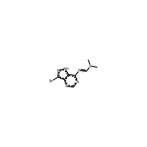 CN(C)/C=N/c1ncnc2c(Br)n[nH]c12